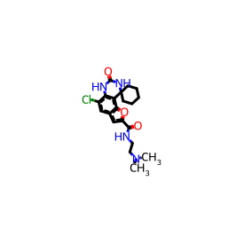 CN(C)CCNC(=O)c1cc2cc(Cl)c3c(c2o1)C1(CCCCC1)NC(=O)N3